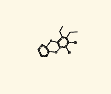 CCc1c(Br)c(Br)c2c(c1CC)Oc1ccccc1O2